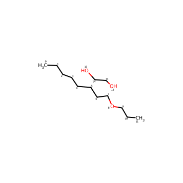 CCCCCCCCOCCC.OCCO